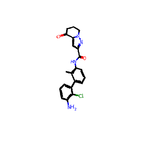 Cc1c(NC(=O)c2cc3n(n2)CCCC3=O)cccc1-c1cccc(N)c1Cl